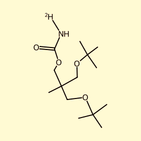 [2H]NC(=O)OCC(C)(COC(C)(C)C)COC(C)(C)C